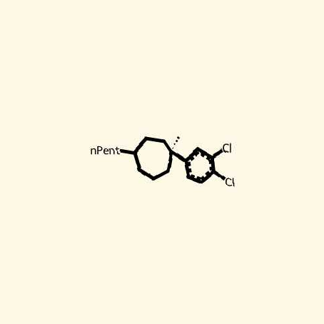 CCCCCC1CCC[C@](C)(c2ccc(Cl)c(Cl)c2)CC1